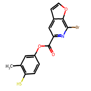 Cc1cc(OC(=O)c2cc3ccoc3c(Br)n2)ccc1S